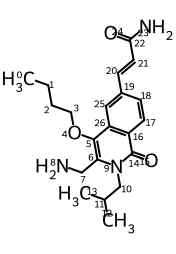 CCCCOc1c(CN)n(CC(C)C)c(=O)c2ccc(C=CC(N)=O)cc12